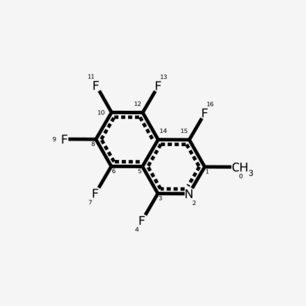 Cc1nc(F)c2c(F)c(F)c(F)c(F)c2c1F